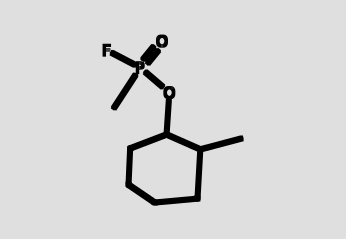 CC1CCCCC1OP(C)(=O)F